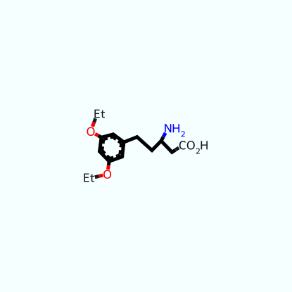 CCOc1cc(CCC(N)CC(=O)O)cc(OCC)c1